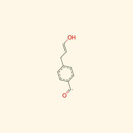 O=[C]c1ccc(CC=CO)cc1